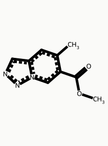 COC(=O)c1cn2nncc2cc1C